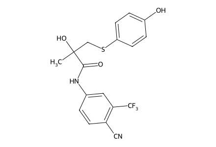 CC(O)(CSc1ccc(O)cc1)C(=O)Nc1ccc(C#N)c(C(F)(F)F)c1